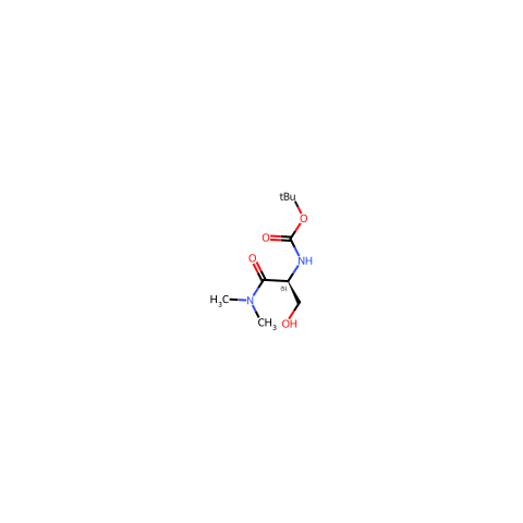 CN(C)C(=O)[C@H](CO)NC(=O)OC(C)(C)C